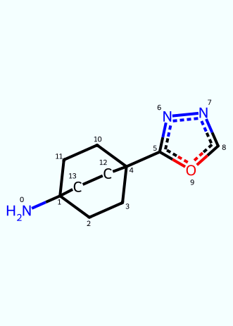 NC12CCC(c3nnco3)(CC1)CC2